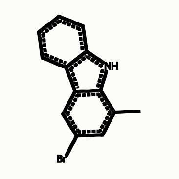 Cc1cc(Br)cc2c1[nH]c1ccccc12